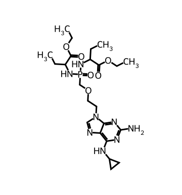 CCOC(=O)C(CC)NP(=O)(COCCn1cnc2c(NC3CC3)nc(N)nc21)NC(CC)C(=O)OCC